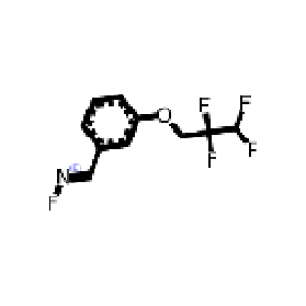 F/N=C/c1cccc(OCC(F)(F)C(F)F)c1